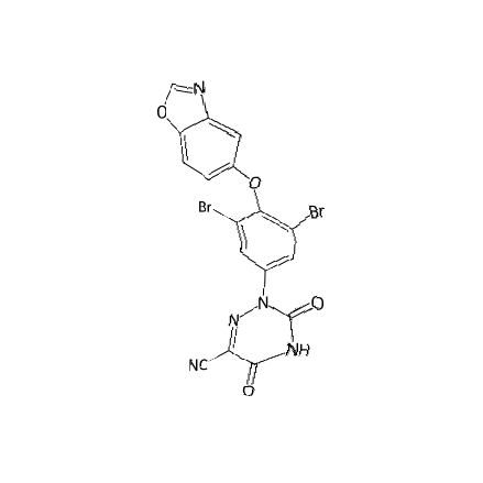 N#Cc1nn(-c2cc(Br)c(Oc3ccc4ocnc4c3)c(Br)c2)c(=O)[nH]c1=O